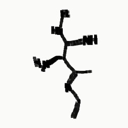 C=C/N=C(\C)[C@@H](N)C(=N)NCC